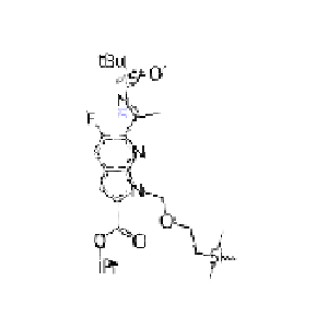 C/C(=N\[S@@+]([O-])C(C)(C)C)c1nc2c(cc1F)cc(C(=O)OC(C)C)n2COCC[Si](C)(C)C